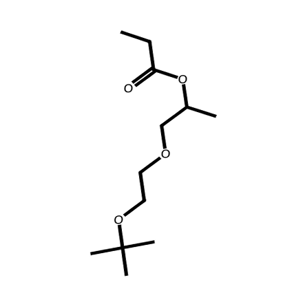 CCC(=O)OC(C)COCCOC(C)(C)C